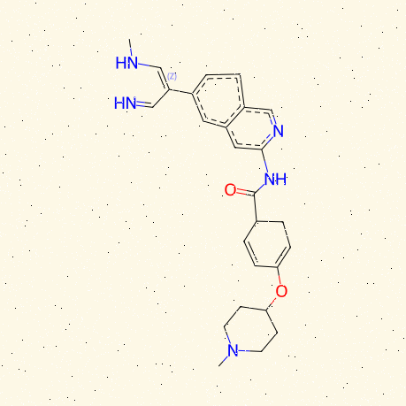 CN/C=C(\C=N)c1ccc2cnc(NC(=O)C3C=CC(OC4CCN(C)CC4)=CC3)cc2c1